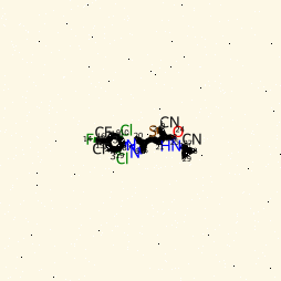 N#Cc1sc(-c2cnn(-c3c(Cl)cc(C(F)(C(F)(F)F)C(F)(F)F)cc3Cl)c2)cc1C(=O)NC1(C#N)CC1